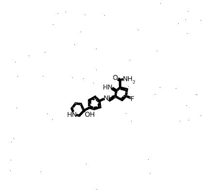 N=C1C(C(N)=O)=CC(F)=C/C1=C/Nc1ccc(C2(O)CCCNC2)cc1